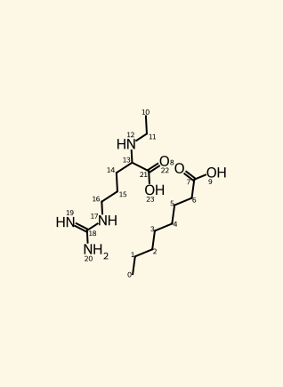 CCCCCCCC(=O)O.CCNC(CCCNC(=N)N)C(=O)O